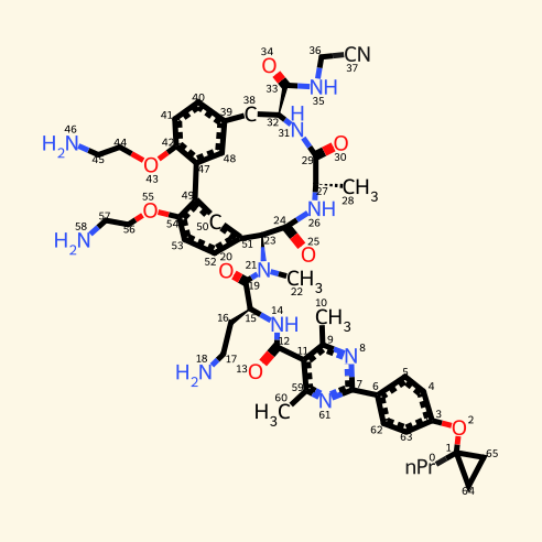 CCCC1(Oc2ccc(-c3nc(C)c(C(=O)N[C@@H](CCN)C(=O)N(C)[C@@H]4C(=O)N[C@@H](C)C(=O)N[C@H](C(=O)NCC#N)Cc5ccc(OCCN)c(c5)-c5cc4ccc5OCCN)c(C)n3)cc2)CC1